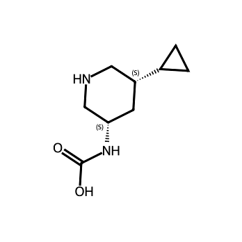 O=C(O)N[C@@H]1CNC[C@H](C2CC2)C1